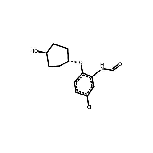 O=CNc1cc(Cl)ccc1O[C@H]1CC[C@H](O)CC1